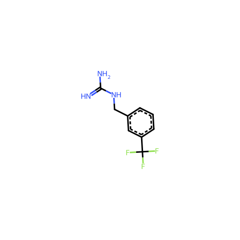 N=C(N)NCc1cccc(C(F)(F)F)c1